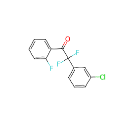 O=C(c1ccccc1F)C(F)(F)c1cccc(Cl)c1